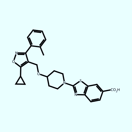 Cc1ccccc1-c1noc(C2CC2)c1COC1CCN(c2nc3ccc(C(=O)O)cc3s2)CC1